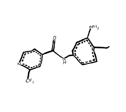 Cc1ccc(NC(=O)c2ccnc(C(F)(F)F)c2)cc1N